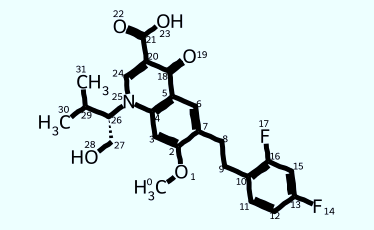 COc1cc2c(cc1CCc1ccc(F)cc1F)c(=O)c(C(=O)O)cn2[C@H](CO)C(C)C